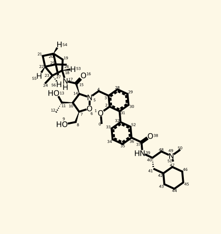 COc1c(CN2O[C@@H](CO)[C@@H]([C@H](C)O)[C@H]2C(=O)N[C@H]2C[C@H]3C[C@@H]([C@@H]2C)C3(C)C)cccc1-c1cccc(C(=O)N[C@@H](CC2CCCCC2)CN(C)C)c1